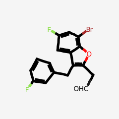 O=CCc1oc2c(Br)cc(F)cc2c1Cc1cccc(F)c1